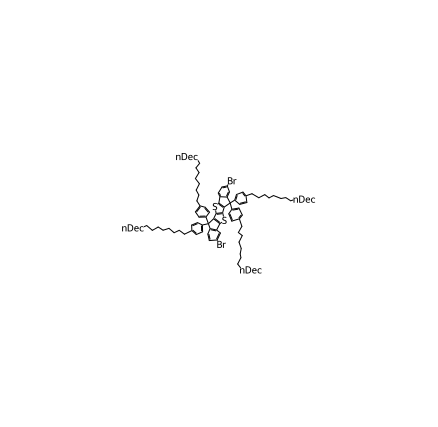 CCCCCCCCCCCCCCCCCCc1ccc(C2(c3ccc(CCCCCCCCCCCCCCCCCC)cc3)c3ccc(Br)cc3-c3sc4c5c(sc4c32)-c2ccc(Br)cc2C5(c2ccc(CCCCCCCCCCCCCCCCCC)cc2)c2ccc(CCCCCCCCCCCCCCCCCC)cc2)cc1